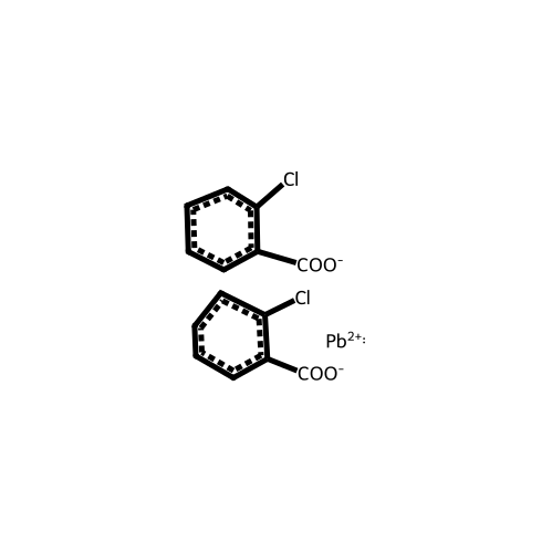 O=C([O-])c1ccccc1Cl.O=C([O-])c1ccccc1Cl.[Pb+2]